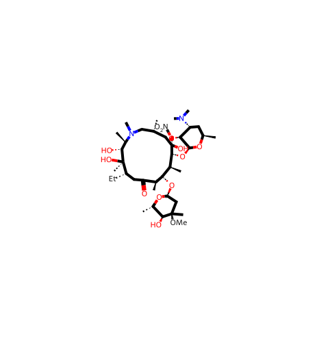 CC[C@H]1CC(=O)[C@H](C)[C@@H](O[C@H]2C[C@@](C)(OC)[C@@H](O)[C@H](C)O2)[C@H](C)[C@@H](O[C@@H]2O[C@H](C)C[C@@H](N(C)C)[C@H]2O[N+](=O)[O-])[C@](C)(O)C[C@@H](C)CN(C)[C@H](C)[C@@H](O)[C@]1(C)O